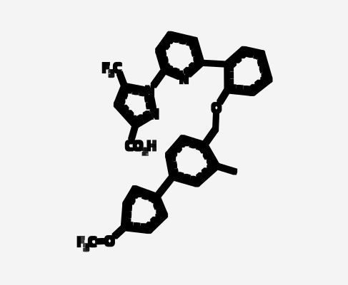 Cc1cc(-c2ccc(OC(F)(F)F)cc2)ccc1COc1ccccc1-c1cccc(-n2nc(C(=O)O)cc2C(F)(F)F)n1